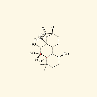 C=C1C(=O)C23C(CC[C@@H]1[C@H]2O)[C@@]12CO[C@]3(O)[C@@H](O)[C@@H]1C(C)(C)CC[C@@H]2O